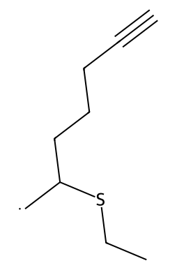 C#CCCCC([CH2])SCC